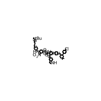 CC1(C)CCC(CN2CCN(c3ccc(C(=O)NS(=O)(=O)c4ccc(NC5CCN(CCCO[Si](C)(C)C(C)(C)C)CC5)c([N+](=O)[O-])c4)c(Oc4ccc5[nH]ccc5c4)c3)CC2)=C(c2ccc(Cl)cc2)C1